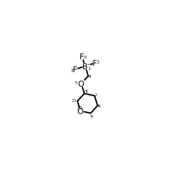 F[B-](F)(F)COC1CCCOC1